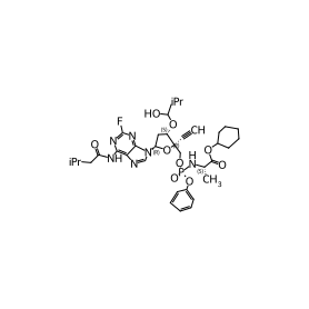 C#C[C@]1(COP(=O)(N[C@@H](C)C(=O)OC2CCCCC2)Oc2ccccc2)O[C@@H](n2cnc3c(NC(=O)CC(C)C)nc(F)nc32)C[C@@H]1OC(O)C(C)C